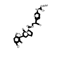 COC(=O)Nc1ccc(C(=O)COC(=O)[C@@H]2CCC3CC(c4c(N)ccc(Cl)c4F)=CC(=O)N32)nc1